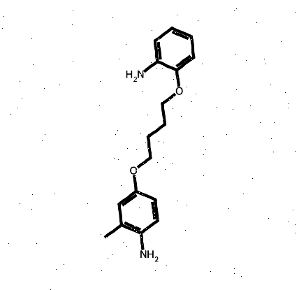 Cc1cc(OCCCCOc2ccccc2N)ccc1N